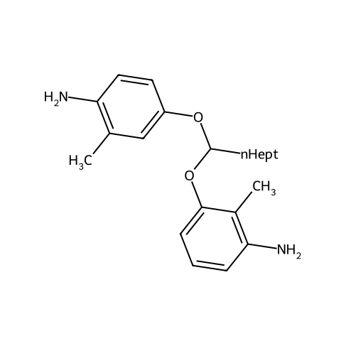 CCCCCCCC(Oc1ccc(N)c(C)c1)Oc1cccc(N)c1C